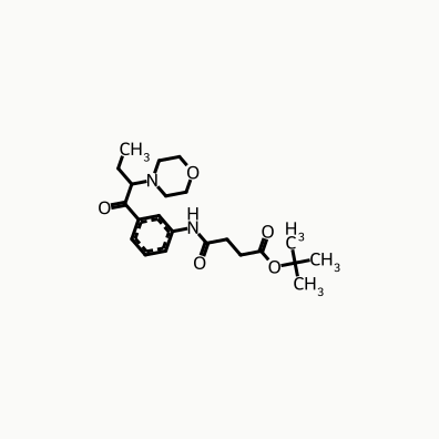 CCC(C(=O)c1cccc(NC(=O)CCC(=O)OC(C)(C)C)c1)N1CCOCC1